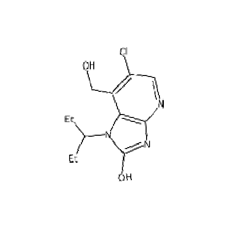 CCC(CC)n1c(O)nc2ncc(Cl)c(CO)c21